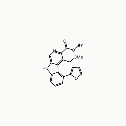 COCc1c(C(=O)OC(C)C)ncc2[nH]c3cccc(-c4ccco4)c3c12